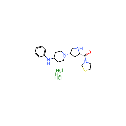 Cl.Cl.Cl.O=C([C@@H]1C[C@H](N2CCC(Nc3ccccc3)CC2)CN1)N1CCSC1